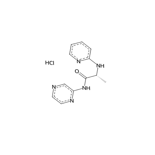 C[C@@H](Nc1ccccn1)C(=O)Nc1cnccn1.Cl